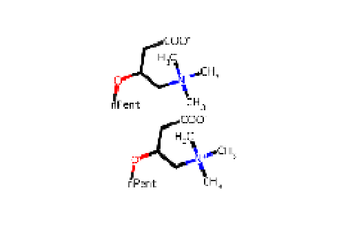 CCCCCOC(CC(=O)[O-])C[N+](C)(C)C.CCCCCOC(CC(=O)[O-])C[N+](C)(C)C